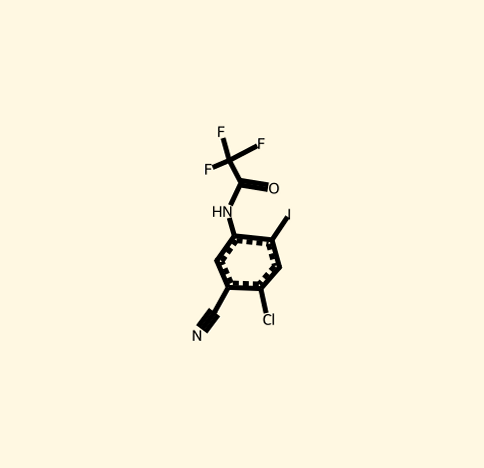 N#Cc1cc(NC(=O)C(F)(F)F)c(I)cc1Cl